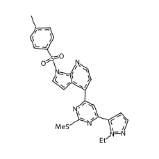 CCn1nccc1-c1cc(-c2ccnc3c2ccn3S(=O)(=O)c2ccc(C)cc2)nc(SC)n1